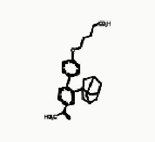 C=C(C(=O)O)c1ccc(-c2ccc(OCCCCC(=O)O)cc2)c(C23CC4CC(CC(C4)C2)C3)c1